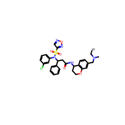 CC(C)CN(C)Cc1ccc2c(c1)OCCC2NC(=O)CC(c1ccccc1)N(c1cccc(Cl)c1)S(=O)(=O)c1cnon1